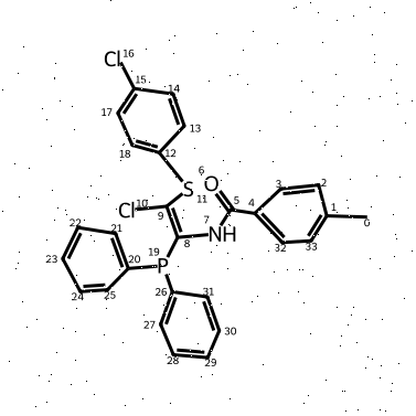 Cc1ccc(C(=O)N/C(=C(/Cl)Sc2ccc(Cl)cc2)P(c2ccccc2)c2ccccc2)cc1